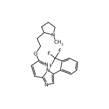 CN1CCCC1CCOc1ccc2ncc(-c3ccccc3C(F)(F)F)n2n1